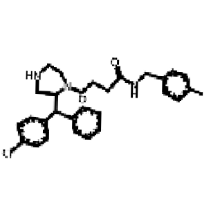 Cc1ccc(CNC(=O)CCC(=O)N2CCNCC2C(c2ccccc2)c2ccc(Cl)cc2)cc1